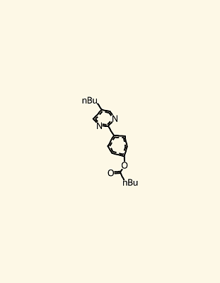 CCCCC(=O)Oc1ccc(-c2ncc(CCCC)cn2)cc1